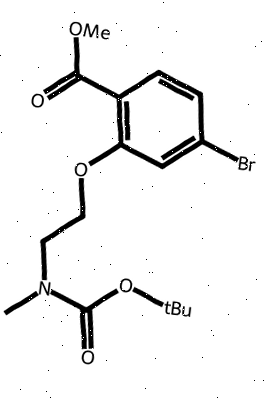 COC(=O)c1ccc(Br)cc1OCCN(C)C(=O)OC(C)(C)C